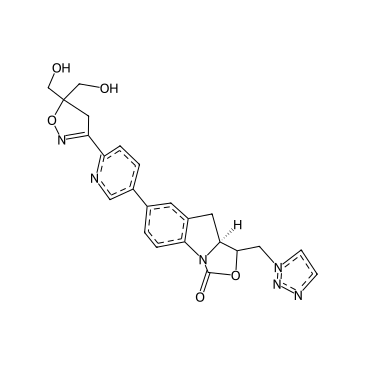 O=C1OC(Cn2ccnn2)[C@@H]2Cc3cc(-c4ccc(C5=NOC(CO)(CO)C5)nc4)ccc3N12